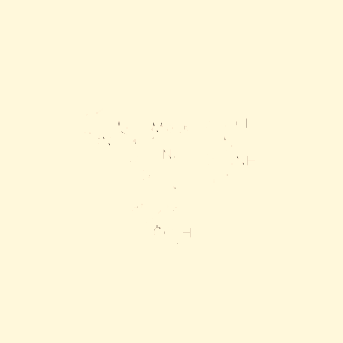 COc1cc(C)c2[nH]ccc2c1CN1CC[C@H](c2ccccn2)C[C@H]1c1ccc(C(=O)O)cc1